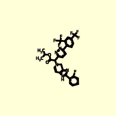 CC(C)OC(=O)C(c1ccc(-c2ccc(C(F)(F)F)cc2C(F)(F)F)nn1)N1C=Cc2[nH]c(-c3ccccc3F)nc2C1